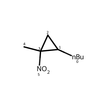 CCCCC1CC1(C)[N+](=O)[O-]